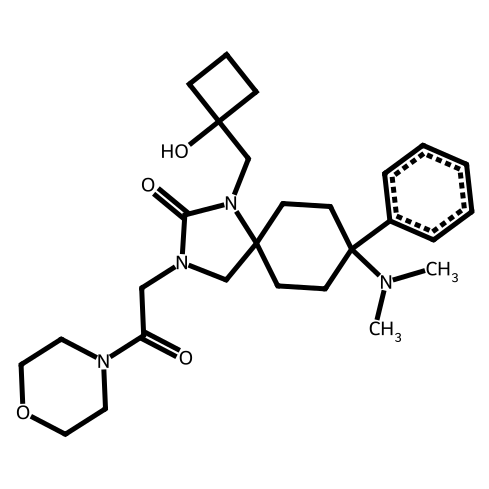 CN(C)C1(c2ccccc2)CCC2(CC1)CN(CC(=O)N1CCOCC1)C(=O)N2CC1(O)CCC1